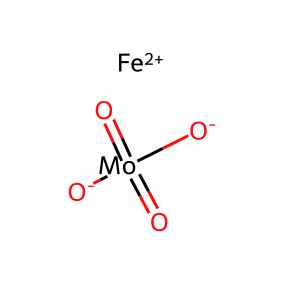 [Fe+2].[O]=[Mo](=[O])([O-])[O-]